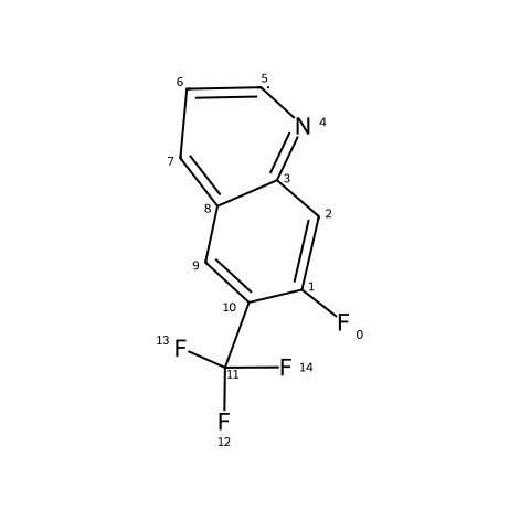 Fc1cc2n[c]ccc2cc1C(F)(F)F